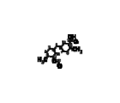 CC1CCC(CC2CCC(C)C(C(=O)O)C2)CC1OC=O